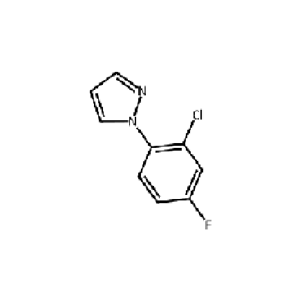 Fc1ccc(-n2cccn2)c(Cl)c1